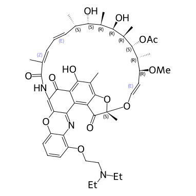 CCN(CC)CCOc1cccc2oc3c4c(=O)c5c(O)c(C)c6c(c5c-3nc12)C(=O)[C@@](C)(O/C=C/[C@H](OC)[C@@H](C)[C@@H](OC(C)=O)[C@H](C)[C@H](O)[C@H](C)[C@@H](O)[C@@H](C)/C=C/C=C(/C)C(=O)N4)O6